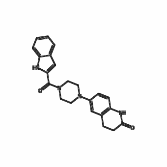 O=C1CCc2cc(N3CCN(C(=O)c4cc5ccccc5[nH]4)CC3)ccc2N1